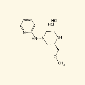 COC[C@H]1CN(Nc2ccccn2)CCN1.Cl.Cl